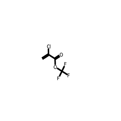 C=C(Cl)C(=O)OC(F)(F)F